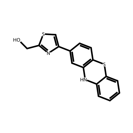 OCc1nc(-c2ccc3c(c2)Nc2ccccc2S3)cs1